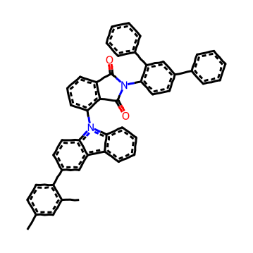 Cc1ccc(-c2ccc3c(c2)c2ccccc2n3-c2cccc3c2C(=O)N(c2ccc(-c4ccccc4)cc2-c2ccccc2)C3=O)c(C)c1